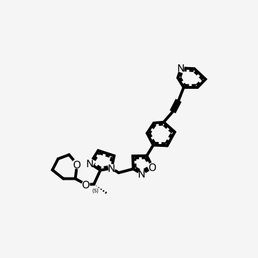 C[C@H](OC1CCCCO1)c1nccn1Cc1cc(-c2ccc(C#Cc3cccnc3)cc2)on1